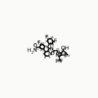 NC(=O)c1cc(-c2cccnc2C(Cc2cc(F)cc(F)c2)NC(=O)Cn2nc(C(F)F)c3c2C(O)C2CC32)ccc1F